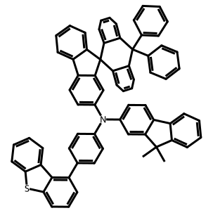 CC1(C)c2ccccc2-c2ccc(N(c3ccc(-c4cccc5sc6ccccc6c45)cc3)c3ccc4c(c3)C3(c5ccccc5-4)c4ccccc4C(c4ccccc4)(c4ccccc4)c4ccccc43)cc21